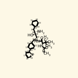 COC(=O)NC(C(=O)NN(Cc1ccc(-c2ccccn2)cc1)C[C@H](O)[C@@H](N)Cc1ccccc1)C(C)(C)C